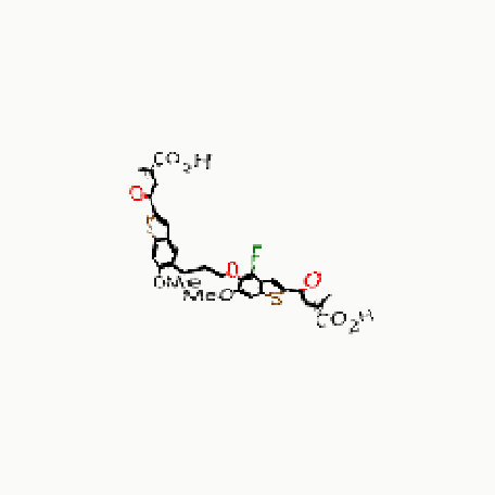 COc1cc2sc(C(=O)C[C@H](C)C(=O)O)cc2cc1CCCOc1c(OC)cc2sc(C(=O)C[C@H](C)C(=O)O)cc2c1F